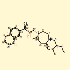 CCC(CC)CN1CC[C@@H](CNC(=O)c2ccc3ccccc3c2)NCC1=O